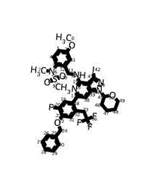 COc1ccc(N(C)S(C)(=O)=O)c(CNc2nc(-c3cc(F)c(OCc4ccccc4)cc3CC(F)(F)F)cc3c2c(I)nn3C2CCCCO2)c1